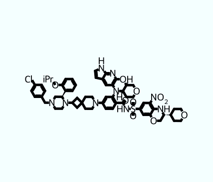 CC(C)Oc1ccccc1[C@@H]1CN(Cc2ccc(Cl)cc2)CCN1C1CC2(CCN(c3ccc(C(=O)NS(=O)(=O)c4cc5c(c([N+](=O)[O-])c4)N[C@H](C4CCOCC4)CO5)c(N4c5cc6cc[nH]c6nc5O[C@H]5COCC[C@@H]54)c3)CC2)C1